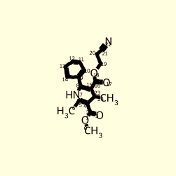 COC(=O)C1=C(C)NC(c2ccccc2)=C(C(=O)OCCC#N)C1C